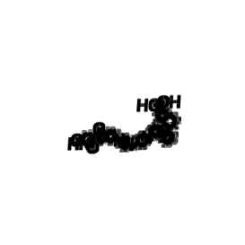 O=C1CC[C@H](N2Cc3cc(N4CCN(CC5CCN(c6ccc(C7=C(c8ccccc8)CCCc8cc(B(O)O)ccc87)cc6)CC5)CC4)ccc3C2=O)C(=O)N1